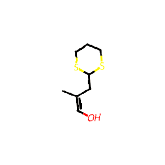 C/C(=C/O)CC1SCCCS1